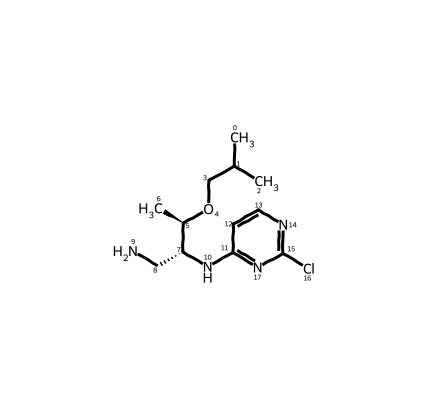 CC(C)CO[C@H](C)[C@@H](CN)Nc1ccnc(Cl)n1